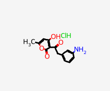 Cc1cc(O)c(C(=O)Cc2cccc(N)c2)c(=O)o1.Cl